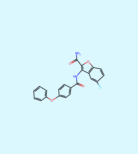 NC(=O)c1oc2ccc(F)cc2c1NC(=O)c1ccc(Oc2ccccc2)cc1